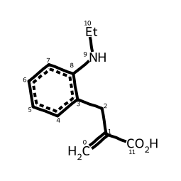 C=C(Cc1ccccc1NCC)C(=O)O